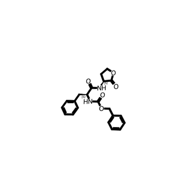 O=C(N[C@@H](Cc1ccccc1)C(=O)N[C@H]1CCOC1=O)OCc1ccccc1